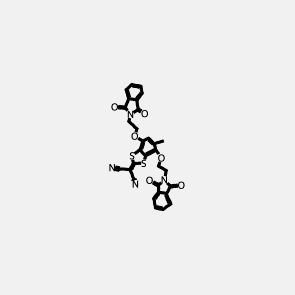 Cc1cc(OCCN2C(=O)c3ccccc3C2=O)c2c(c1OCCN1C(=O)c3ccccc3C1=O)SC(=C(C#N)C#N)S2